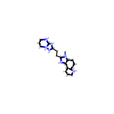 Cn1c(CCc2nc3ncccn3n2)nc2c3cccnc3ccc21